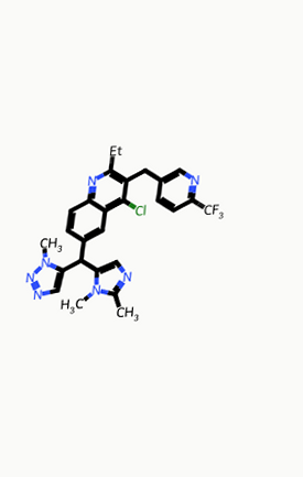 CCc1nc2ccc(C(c3cnnn3C)c3cnc(C)n3C)cc2c(Cl)c1Cc1ccc(C(F)(F)F)nc1